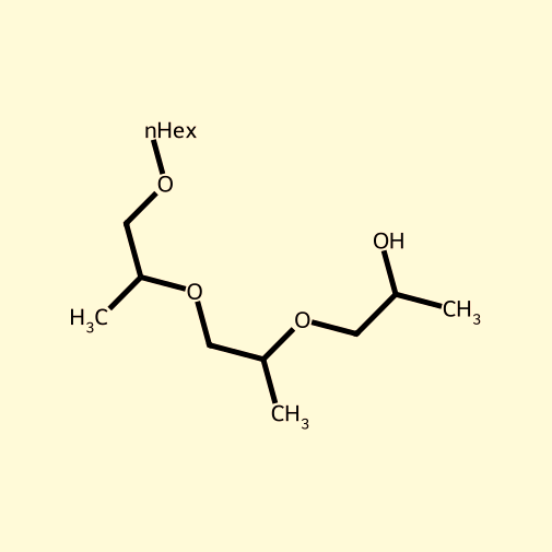 CCCCCCOCC(C)OCC(C)OCC(C)O